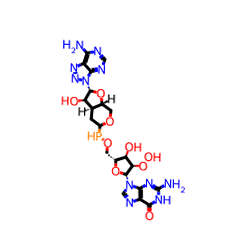 Nc1nc2c(ncn2[C@@H]2O[C@H](COPC3C[C@H]4[C@@H](O)[C@H](n5nnc6c(N)ncnc65)O[C@@H]4CO3)[C@@H](O)[C@H]2OO)c(=O)[nH]1